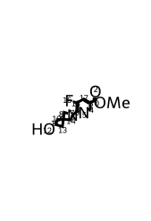 COC(=O)c1cnc(N2CC3(CC(O)C3)C2)c(F)c1